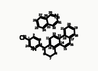 Clc1ccc(C2CCCc3c2ccc2c3ccc3ccccc32)nc1.c1ccc2cnccc2c1